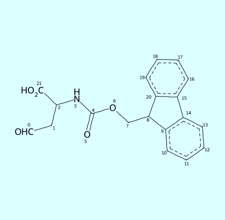 O=CCC(NC(=O)OCC1c2ccccc2-c2ccccc21)C(=O)O